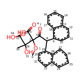 COC(C(=O)O)(C(=O)C(c1cccc2ccccc12)c1cccc2ccccc12)C(C)(O)C(=O)O